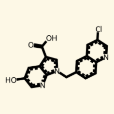 O=C(O)c1cn(Cc2ccc3ncc(Cl)cc3c2)c2ncc(O)cc12